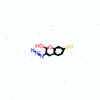 [N-]=[N+]=NC1=Cc2ccc(S)cc2OC1O